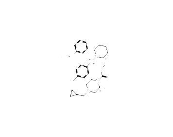 C[C@@H]1CN(CC2CC2)CCN1C(=O)OC[C@H]1CCC[C@@H](c2cccc(OC(F)(F)F)c2)N1S(=O)(=O)c1ccc(Cl)cc1